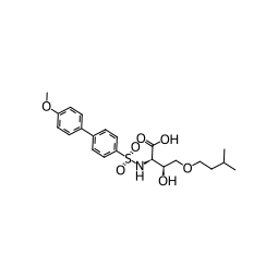 COc1ccc(-c2ccc(S(=O)(=O)N[C@@H](C(=O)O)[C@H](O)COCCC(C)C)cc2)cc1